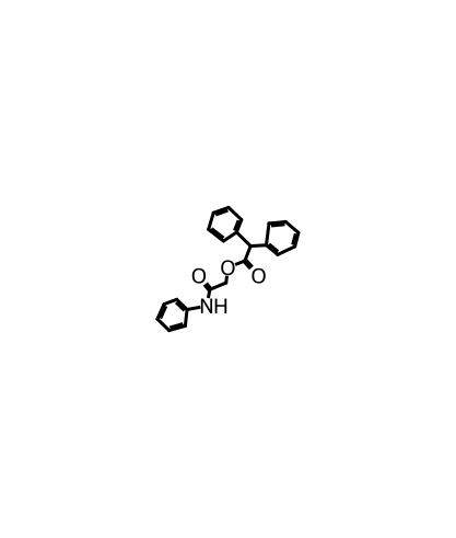 O=C(COC(=O)C(c1ccccc1)c1ccccc1)Nc1ccccc1